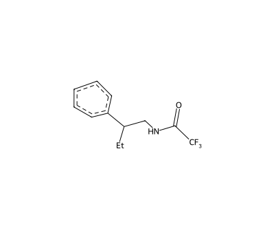 CCC(CNC(=O)C(F)(F)F)c1ccccc1